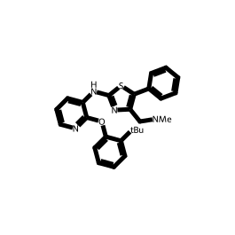 CNCc1nc(Nc2cccnc2Oc2ccccc2C(C)(C)C)sc1-c1ccccc1